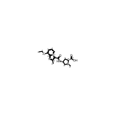 CCOc1cccn2c(C(=O)N[C@H]3C[C@@H](C(=O)O)N(C)C3)c(C)nc12